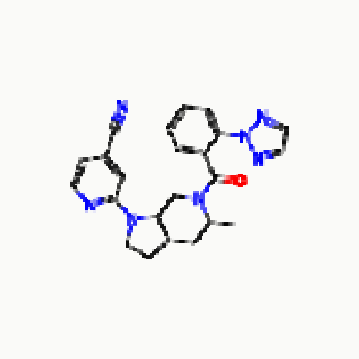 CC1CC2CCN(c3cc(C#N)ccn3)C2CN1C(=O)c1ccccc1-n1nccn1